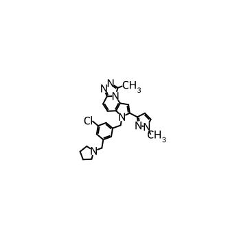 Cc1nnc2ccc3c(cc(-c4ccn(C)n4)n3Cc3cc(Cl)cc(CN4CCCC4)c3)n12